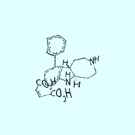 O=C(O)/C=C\C(=O)O.c1ccc(-c2cccc3c2[C@@H]2CCNCC[C@H]2N3)cc1